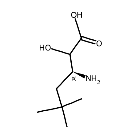 CC(C)(C)C[C@H](N)C(O)C(=O)O